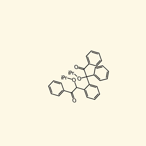 CC(C)OC(C(=O)c1ccccc1)c1ccccc1C(OC(C)C)(C(=O)c1ccccc1)c1ccccc1